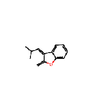 C=c1oc2ccccc2/c1=C/C(C)C